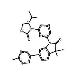 Cc1ncc(-c2ccc3c(c2)N(c2cncc(N4C(=O)OC[C@H]4C(C)C)n2)C(=O)C3(C)C)cn1